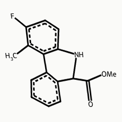 COC(=O)C1Nc2ccc(F)c(C)c2-c2ccccc21